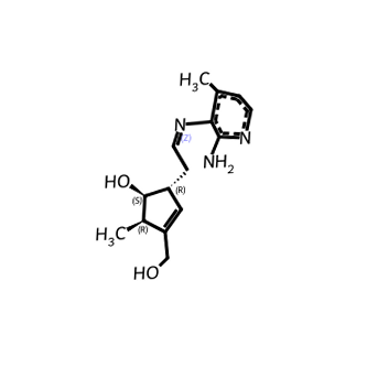 Cc1ccnc(N)c1/N=C\C[C@@H]1C=C(CO)[C@@H](C)[C@H]1O